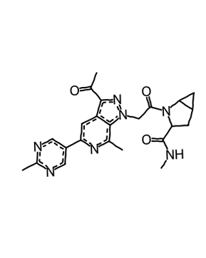 CNC(=O)C1CC2CC2N1C(=O)Cn1nc(C(C)=O)c2cc(-c3cnc(C)nc3)nc(C)c21